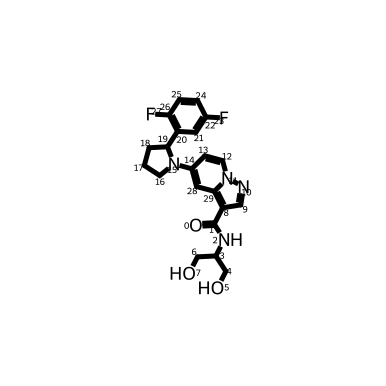 O=C(NC(CO)CO)c1cnn2ccc(N3CCCC3c3cc(F)ccc3F)cc12